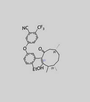 CCc1ccc(Oc2ccc(C(F)(F)F)c(C#N)c2)cc1/C1=C(\O)C(C)[C@@H](C)CC[C@@H](C)CC1=O